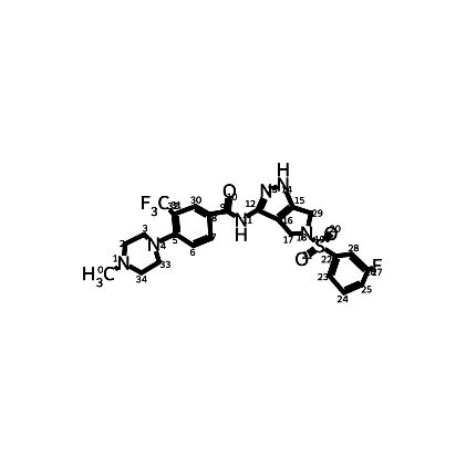 CN1CCN(c2ccc(C(=O)Nc3n[nH]c4c3CN(S(=O)(=O)c3cccc(F)c3)C4)cc2C(F)(F)F)CC1